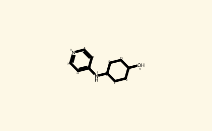 OC1CCC(Nc2ccncc2)CC1